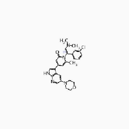 Cc1cc(-c2c[nH]c3ncc(N4CCOCC4)cc23)cc(=O)n1/C(=C/N(C)C)c1cccc(Cl)c1